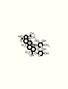 C=C(C)[C@@H]1CC[C@]2(C(=O)O)CC[C@]3(C)C(CCC4[C@@]5(C)CC[C@H](O[C@@H]6OC[C@H](O)[C@H](O)[C@H]6O[C@@H]6O[C@@H](C)[C@H](O)[C@@H](O)[C@H]6O)[C@@](C)(CO)C5CC[C@]43C)[C@@H]12